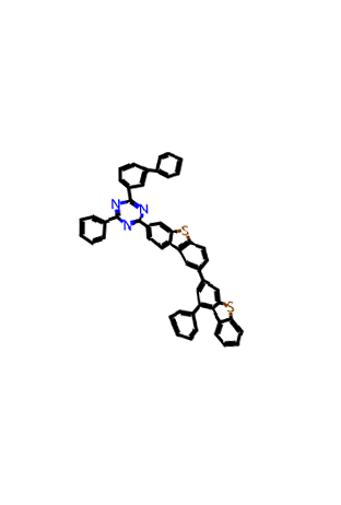 c1ccc(-c2cccc(-c3nc(-c4ccccc4)nc(-c4ccc5c(c4)sc4ccc(-c6cc(-c7ccccc7)c7c(c6)sc6ccccc67)cc45)n3)c2)cc1